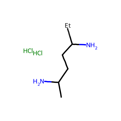 CCC(N)CCC(C)N.Cl.Cl